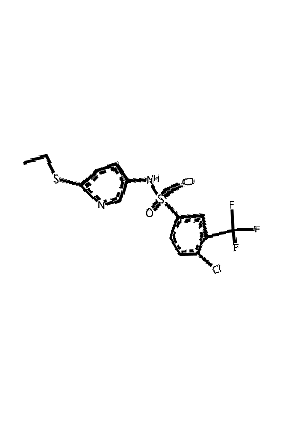 CCSc1ccc(NS(=O)(=O)c2ccc(Cl)c(C(F)(F)F)c2)cn1